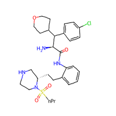 CCCS(=O)(=O)N1CCNC[C@@H]1CCc1ccccc1NC(=O)[C@@H](N)C(c1ccc(Cl)cc1)C1CCOCC1